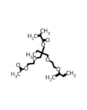 C=CC(=C)OCCOCC(CC)(COCCOC(C)=O)COC(=O)C(=C)C